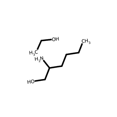 CCCCC(N)CO.CCO